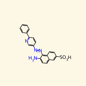 Nc1ccc2cc(S(=O)(=O)O)ccc2c1/N=N/c1ccc(-c2ccccc2)nc1